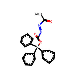 COC(=O)N=NC(=O)O[Si](c1ccccc1)(c1ccccc1)c1ccccc1